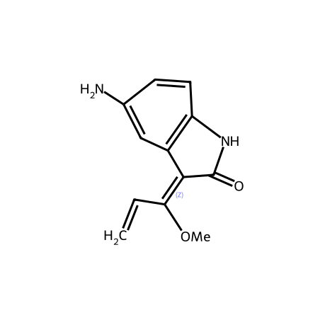 C=C/C(OC)=C1/C(=O)Nc2ccc(N)cc21